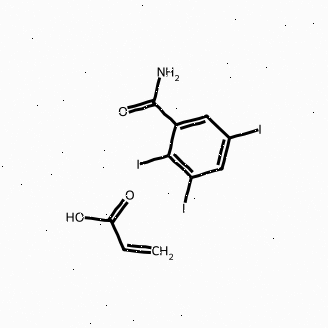 C=CC(=O)O.NC(=O)c1cc(I)cc(I)c1I